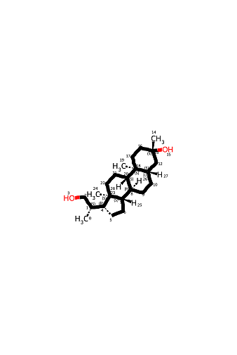 C[C@H](CO)[C@H]1CC[C@H]2[C@@H]3CC[C@H]4C[C@@](C)(O)CC[C@]4(C)[C@H]3CC[C@]12C